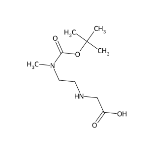 CN(CCNCC(=O)O)C(=O)OC(C)(C)C